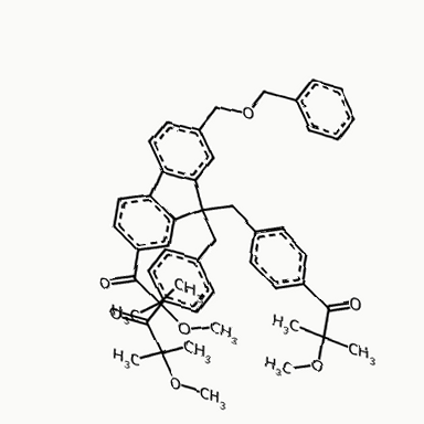 COC(C)(C)C(=O)c1ccc(CC2(Cc3ccc(C(=O)C(C)(C)OC)cc3)c3cc(COCc4ccccc4)ccc3-c3ccc(C(=O)C(C)(C)OC)cc32)cc1